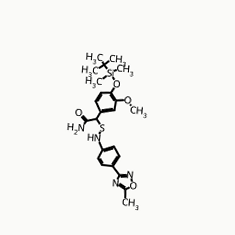 COc1cc(C(SNc2ccc(-c3noc(C)n3)cc2)C(N)=O)ccc1O[Si](C)(C)C(C)(C)C